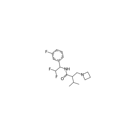 CC(C)C(CN1CCC1)C(=O)NC(c1cccc(F)c1)C(F)F